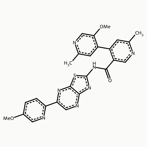 COc1ccc(-c2cnc3nc(NC(=O)c4cnc(C)cc4-c4cc(C)ncc4OC)sc3n2)nc1